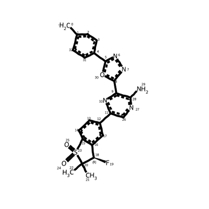 [CH2]c1ccc(-c2nnc(-c3nc(-c4ccc5c(c4)[C@@H](F)C(C)(C)S5(=O)=O)cnc3N)o2)cc1